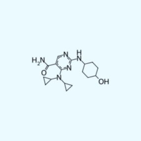 NC(=O)c1cnc(NC2CCC(O)CC2)nc1N(C1CC1)C1CC1